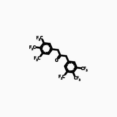 O=C(Cc1cc(C(F)(F)F)c(C(F)(F)F)c(C(F)(F)F)c1)Cc1cc(C(F)(F)F)c(C(F)(F)F)c(C(F)(F)F)c1